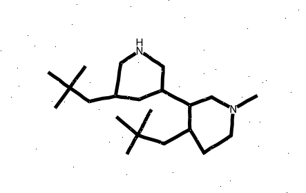 CN1CCC(CC(C)(C)C)C(C2CNCC(CC(C)(C)C)C2)C1